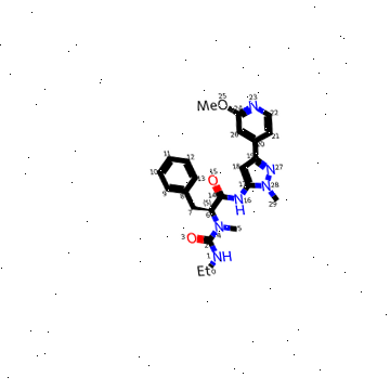 CCNC(=O)N(C)[C@@H](Cc1ccccc1)C(=O)Nc1cc(-c2ccnc(OC)c2)nn1C